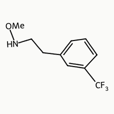 CONCCc1cccc(C(F)(F)F)c1